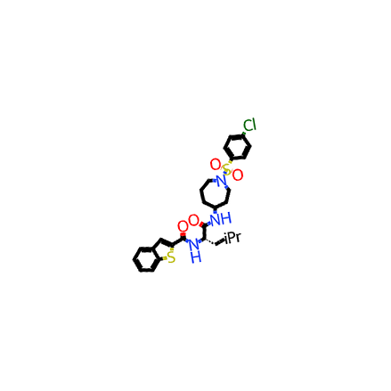 CC(C)C[C@H](NC(=O)c1cc2ccccc2s1)C(=O)NC1CCCN(S(=O)(=O)c2ccc(Cl)cc2)CC1